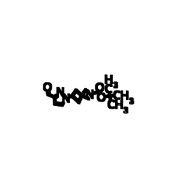 CC(C)(C)OC(=O)N1CC2(CC(n3ccc(C=O)n3)C2)C1